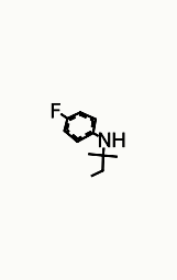 CCC(C)(C)Nc1ccc(F)cc1